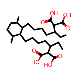 CCC(CCCCC1C(C)CCC(C)C1CCCCC(CC)C(C(=O)O)C(=O)O)C(C(=O)O)C(=O)O